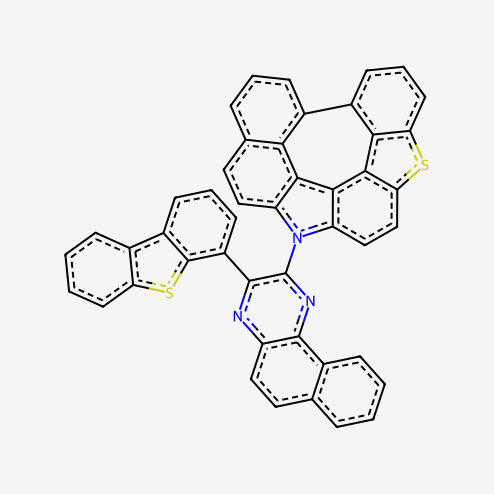 c1ccc2c(c1)ccc1nc(-c3cccc4c3sc3ccccc34)c(-n3c4ccc5cccc6c5c4c4c5c(ccc43)sc3cccc-6c35)nc12